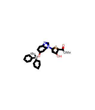 COC(=O)c1sc(-n2cnc3ccc(O[Si](c4ccccc4)(c4ccccc4)C(C)(C)C)cc32)cc1O